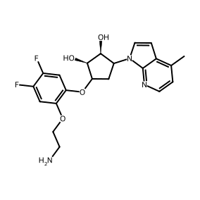 Cc1ccnc2c1ccn2C1CC(Oc2cc(F)c(F)cc2OCCN)[C@@H](O)[C@H]1O